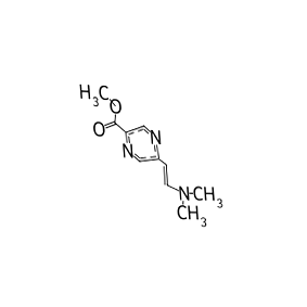 COC(=O)c1cnc(/C=C/N(C)C)cn1